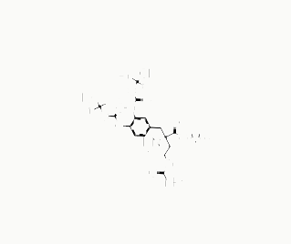 CCCC(=O)OCC[C@@](N)(Cc1ccc(OC(=O)OC(C)(C)CC)c(OC(=O)OC(C)(C)CC)c1)C(=O)OC